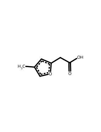 Cc1coc(CC(=O)O)c1